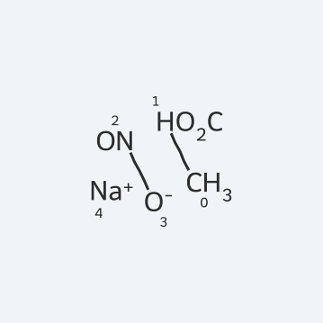 CC(=O)O.O=N[O-].[Na+]